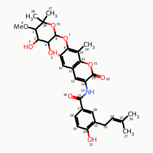 COC1C(O)C(O)C(Oc2ccc3cc(NC(=O)c4ccc(O)c(CC=C(C)C)c4)c(=O)oc3c2C)OC1(C)C